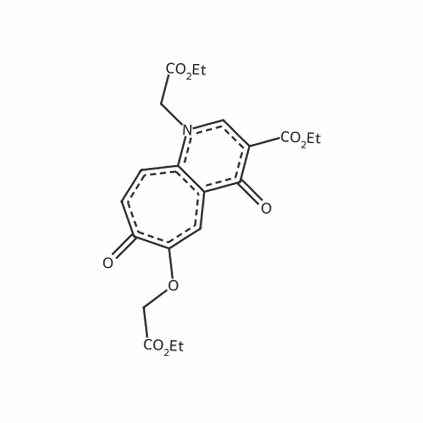 CCOC(=O)COc1cc2c(=O)c(C(=O)OCC)cn(CC(=O)OCC)c2ccc1=O